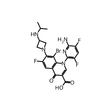 CC(C)NC1CN(c2c(F)cc3c(=O)c(C(=O)O)cn(-c4nc(N)c(F)cc4F)c3c2Br)C1